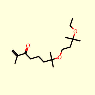 C=C(C)C(=O)CCCC(C)(C)OCCC(C)(C)OCC